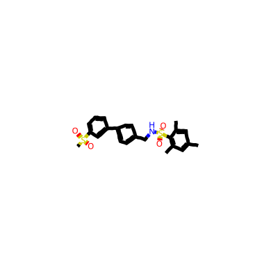 Cc1cc(C)c(S(=O)(=O)NCc2ccc(-c3cccc(S(C)(=O)=O)c3)cc2)c(C)c1